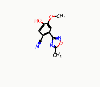 COc1cc(-c2noc(C)n2)c(C#N)cc1O